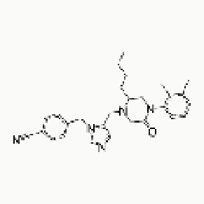 CCCCC1CN(c2cccc(C)c2C)C(=O)CN1Cc1cncn1Cc1ccc(C#N)cc1